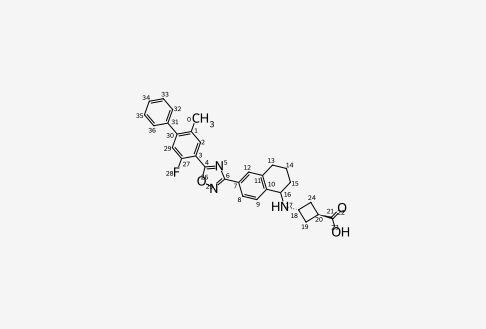 Cc1cc(-c2nc(-c3ccc4c(c3)CCCC4N[C@H]3C[C@H](C(=O)O)C3)no2)c(F)cc1-c1ccccc1